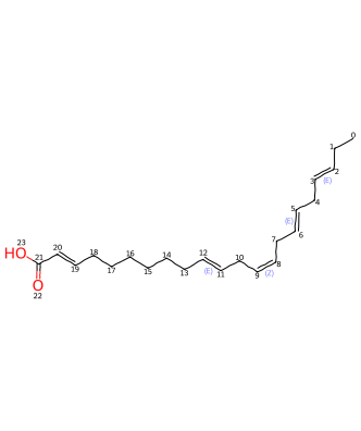 CC/C=C/C/C=C/C/C=C\C/C=C/CCCCCCC=CC(=O)O